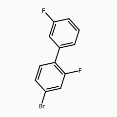 Fc1cccc(-c2ccc(Br)cc2F)c1